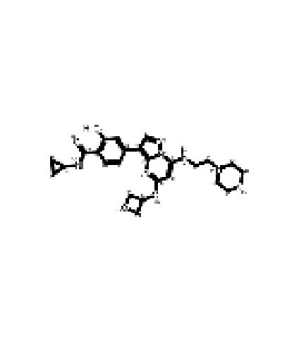 Cc1cc(-c2cnn3c(NCCN4CCOCC4)cc(OC4COC4)nc23)ccc1C(=O)NC1CC1